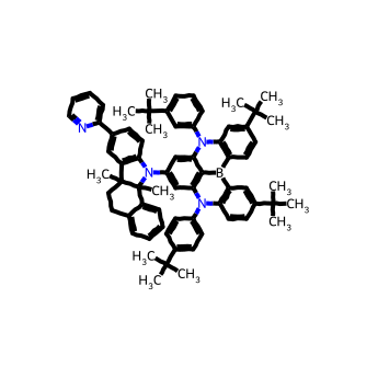 CC(C)(C)c1ccc(N2c3ccc(C(C)(C)C)cc3B3c4ccc(C(C)(C)C)cc4N(c4cccc(C(C)(C)C)c4)c4cc(N5c6ccc(-c7ccccn7)cc6C6(C)CCc7ccccc7C56C)cc2c43)cc1